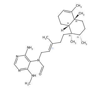 CNc1ncnc(N)c1N(C=O)C/C=C(\C)CC[C@]1(C)[C@@H](C)CC[C@@]2(C)C(C)=CCC[C@@H]12